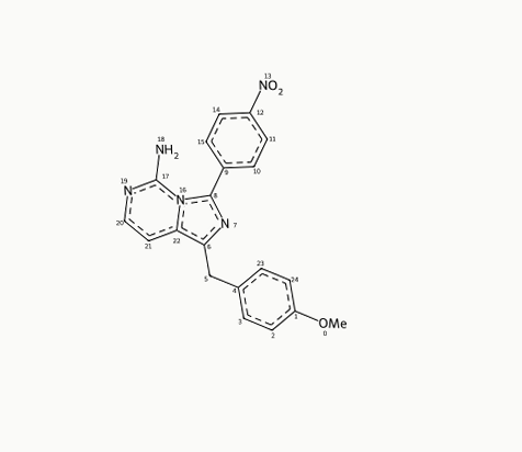 COc1ccc(Cc2nc(-c3ccc([N+](=O)[O-])cc3)n3c(N)nccc23)cc1